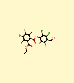 CCOC(=O)c1c(I)c(I)c(I)c(I)c1C(=O)Oc1c(F)c(F)c(C=O)c(F)c1F